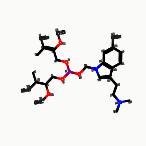 CO/C(C)=C(/COP(OCC(OC=O)C(C)OC)OCn1cc(CCN(C)C)c2ccc(OC)cc21)OC=O